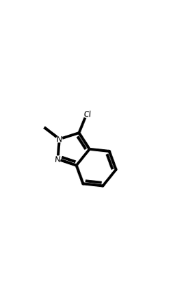 Cn1nc2ccccc2c1Cl